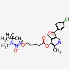 Cc1ncc2c(c1OC(=O)CCCCO/N=[N+](\[O-])N(C)C(C)(C)C)CO[C@H]2c1ccc(Cl)cc1